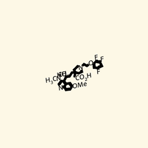 COc1ccc2ncc(N(C)C)c([C@@H](O)CCC3(CC(=O)O)CCN(CCOc4cc(F)cc(F)c4F)CC3)c2c1